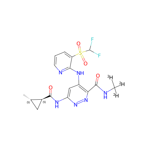 [2H]C([2H])([2H])NC(=O)c1nnc(NC(=O)[C@H]2C[C@@H]2C)cc1Nc1ncccc1S(=O)(=O)C(F)F